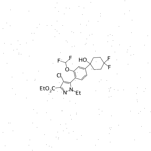 CCOC(=O)c1nn(CC)c(-c2ccc(C3(O)CCC(F)(F)CC3)cc2OC(F)F)c1Cl